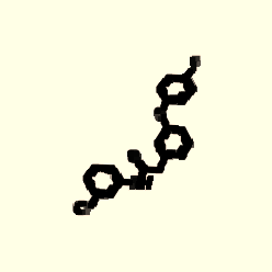 O=C(Cc1cccc(Oc2ccc(F)cc2)c1)Nc1cccc(Cl)c1